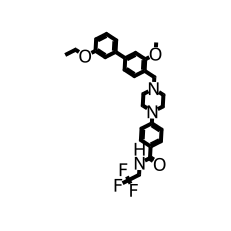 CCOc1cccc(-c2ccc(CN3CCN(c4ccc(C(=O)NCC(F)(F)F)cc4)CC3)c(OC)c2)c1